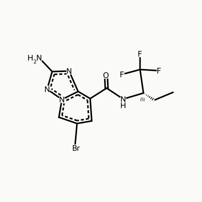 CC[C@H](NC(=O)c1cc(Br)cn2nc(N)nc12)C(F)(F)F